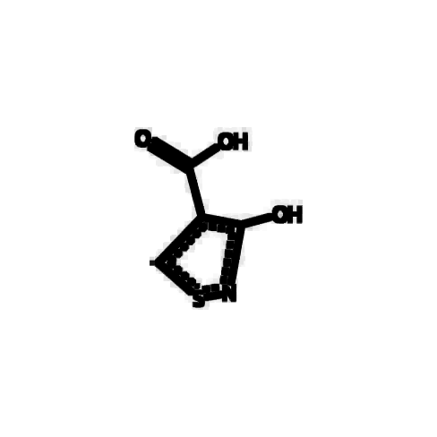 O=C(O)c1[c]snc1O